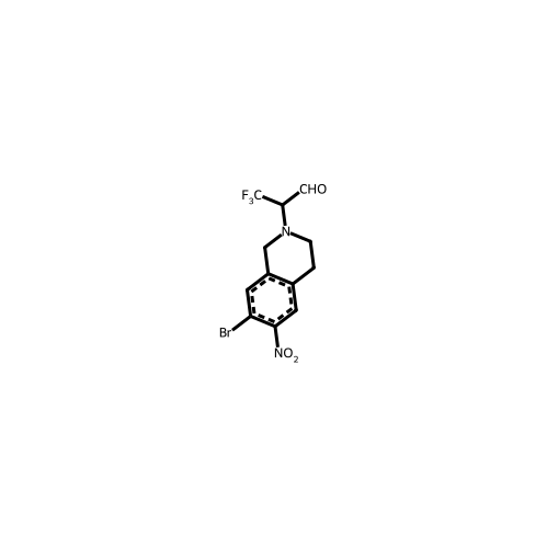 O=CC(N1CCc2cc([N+](=O)[O-])c(Br)cc2C1)C(F)(F)F